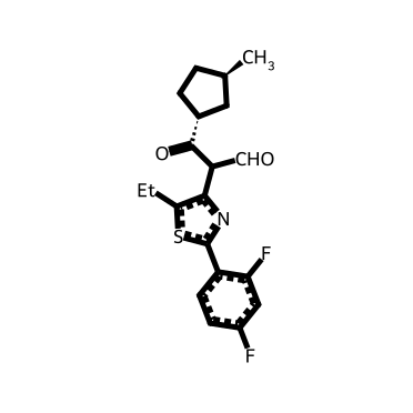 CCc1sc(-c2ccc(F)cc2F)nc1C(C=O)C(=O)[C@@H]1CC[C@@H](C)C1